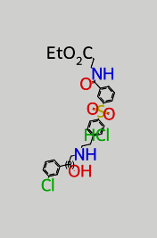 CCOC(=O)CCNC(=O)c1cccc(S(=O)(=O)c2ccc(CCNC[C@H](O)c3cccc(Cl)c3)cc2)c1.Cl